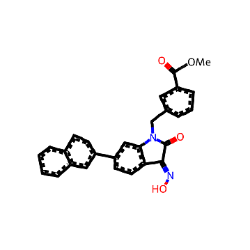 COC(=O)c1cccc(CN2C(=O)/C(=N/O)c3ccc(-c4ccc5ccccc5c4)cc32)c1